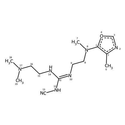 Cc1ncoc1N(C)CCN=C(NC#N)NCCN(C)C